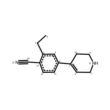 CCc1cc(C2=CCNCC2)ccc1C#N